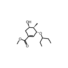 CCC(CC)O[C@@H]1C=C(C(=O)OC)C[C@@H](O)[C@H]1C